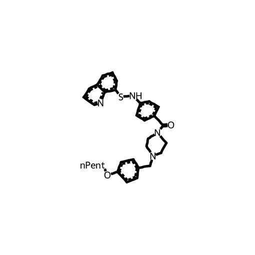 CCCCCOc1ccc(CN2CCN(C(=O)c3ccc(NSc4cccc5cccnc45)cc3)CC2)cc1